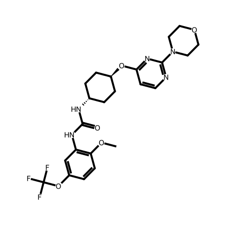 COc1ccc(OC(F)(F)F)cc1NC(=O)N[C@H]1CC[C@H](Oc2ccnc(N3CCOCC3)n2)CC1